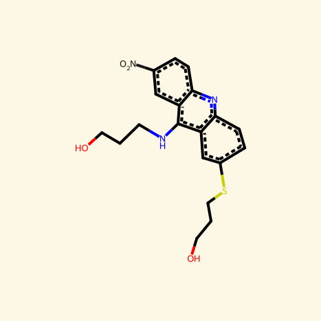 O=[N+]([O-])c1ccc2nc3ccc(SCCCO)cc3c(NCCCO)c2c1